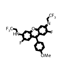 COc1ccc(-c2c3cc(F)c(=NCC(F)(F)F)cc-3oc3cc(NCC(F)(F)F)c(F)cc23)cc1